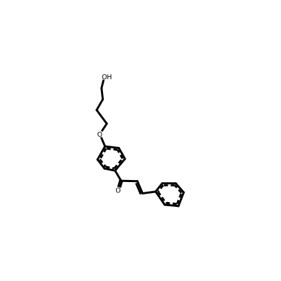 O=C(/C=C/c1ccccc1)c1ccc(OCCCCO)cc1